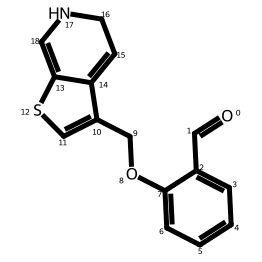 O=[C]c1ccccc1OCc1csc2c1=CCNC=2